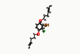 CC#CCCCOc1ccc(OCCCC#CC)c(S)c1F